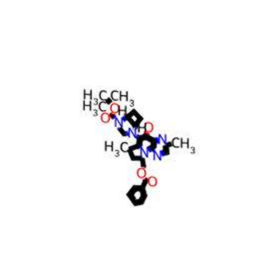 Cc1cnc2c(n1)c(=O)c(N1CCN(C(=O)OC(C)(C)C)[C@H]3CC[C@@H]31)c1n2C(COC(=O)c2ccccc2)CC1C